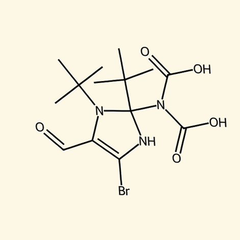 CC(C)(C)N1C(C=O)=C(Br)NC1(N(C(=O)O)C(=O)O)C(C)(C)C